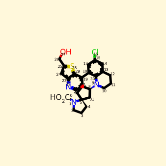 O=C(O)N1CCC[C@]12CC[C@@H](N1CCCc3cc(Cl)cc(-c4ccnc5cc(CO)sc45)c31)C2